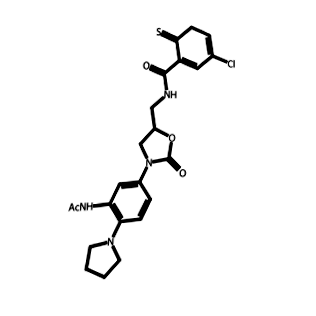 CC(=O)Nc1cc(N2CC(CNC(=O)C3=CC(Cl)=CCC3=S)OC2=O)ccc1N1CCCC1